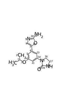 CC(C)Oc1cc(-c2cnc(N)o2)cc(N2CCNC2=O)c1